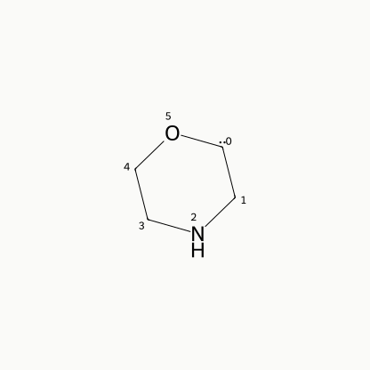 [C]1CNCCO1